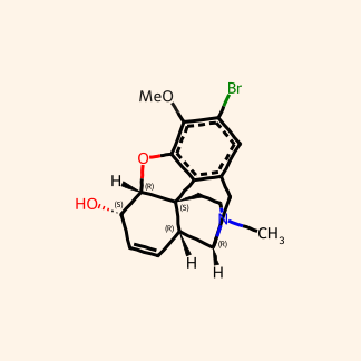 COc1c(Br)cc2c3c1O[C@H]1[C@@H](O)C=C[C@H]4[C@@H](C2)N(C)CC[C@@]341